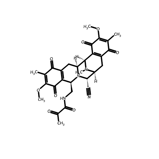 COC1=C(C)C(=O)C2=C(C1=O)[C@@H]1[C@@H]3CC4=C(C(=O)C(OC)=C(C)C4=O)[C@H](CNC(=O)C(C)=O)N3[C@@H](C#N)[C@H](C2)N1C